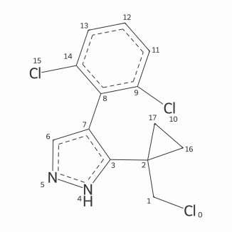 ClCC1(c2[nH]ncc2-c2c(Cl)cccc2Cl)CC1